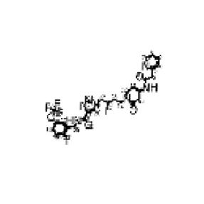 O=C(Cc1ccccn1)NC1CCN(CCC(F)Cn2cc(C(=O)NCc3cc(OC(F)(F)F)ccc3F)nn2)C(=O)C1